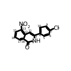 O=c1[nH]c(-c2ccc(Cl)cc2)cc2c([N+](=O)[O-])cccc12